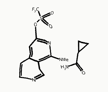 CNc1nc(OS(=O)(=O)C(F)(F)F)cc2ccncc12.NC(=O)C1CC1